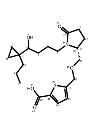 CCCC1(C(O)CCCN2C(=O)CC[C@@H]2COCc2ccc(C(=O)O)s2)CC1